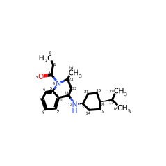 CCC(=O)N1c2ccccc2C(N[C@H]2CC[C@H](C(C)C)CC2)CC1C